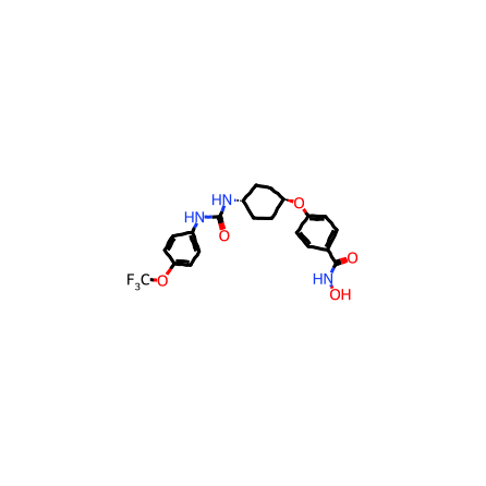 O=C(Nc1ccc(OC(F)(F)F)cc1)N[C@H]1CC[C@H](Oc2ccc(C(=O)NO)cc2)CC1